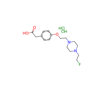 Cl.Cl.O=C(O)Cc1ccc(OCCN2CCN(CCF)CC2)cc1